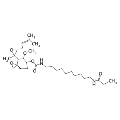 CCC(=O)NCCCCCCCCCCNC(=O)OC1CC[C@]2(CO2)C(C2(C)O[C@@H]2CC=C(C)C)C1OC